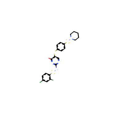 O=S(=O)(Nc1ncc(Sc2ccc(S(=O)(=O)N3CCCCC3)cc2)c(O)n1)c1ccc(Cl)cc1Cl